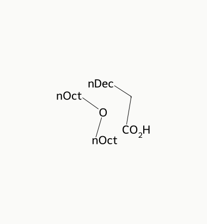 CCCCCCCCCCCC(=O)O.CCCCCCCCOCCCCCCCC